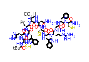 CC(C)C[C@H](NC(=O)[C@H](Cc1c[nH]c2ccccc12)NC(=O)[C@H](Cc1c[nH]cn1)NC(=O)[C@H](CS)NC(=O)C(C)(C)C)C(=O)N[C@@H](CCC(=O)O)C(=O)N[C@@H](CC(N)=O)C(=O)N[C@@H](CS)C(=O)N[C@@H](Cc1c[nH]c2ccccc12)C(=O)N[C@@H](CCCNC(=N)N)C(=O)NCC(=O)N[C@@H](Cc1ccccc1)C(=O)N[C@@H](CS)C(N)=O